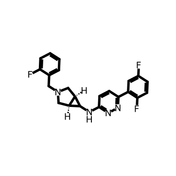 Fc1ccc(F)c(-c2ccc(NC3[C@H]4CN(Cc5ccccc5F)C[C@@H]34)nn2)c1